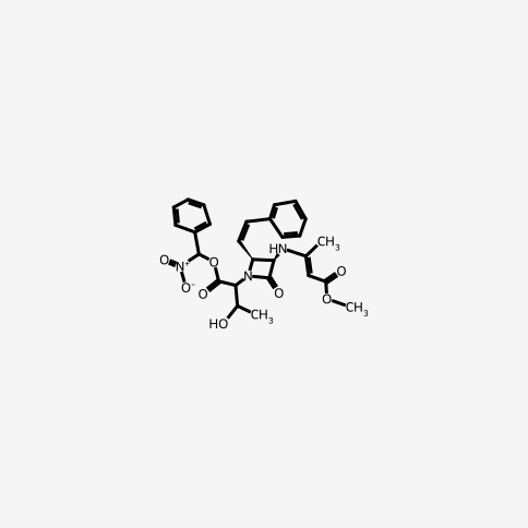 COC(=O)C=C(C)N[C@H]1C(=O)N(C(C(=O)OC(c2ccccc2)[N+](=O)[O-])C(C)O)[C@H]1C=Cc1ccccc1